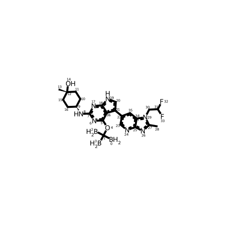 BC(B)(B)Oc1nc(N[C@H]2CC[C@@](C)(O)CC2)nc2[nH]cc(-c3cnc4nc(C)n(CC(F)F)c4c3)c12